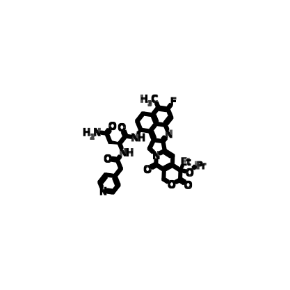 CC[C@@]1(OC(C)C)C(=O)OCc2c1cc1n(c2=O)Cc2c-1nc1cc(F)c(C)c3c1c2[C@@H](NC(=O)[C@H](CC(N)=O)NC(=O)Cc1ccncc1)CC3